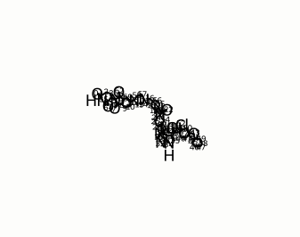 O=C1CCC(N2C(=O)c3ccc(N4CCN(CC5CCN(C(=O)N6CCC[C@@H](Nc7ncnc8[nH]cc(C(=O)c9ccc(Oc%10ccccc%10)cc9Cl)c78)C6)CC5)CC4)cc3C2=O)C(=O)N1